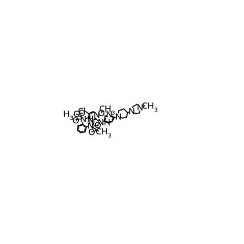 COc1nc(N2CCC(N3CCN(C)CC3)CC2)ccc1Nc1ncc(Cl)c(N(c2ccccc2NS(C)(=O)=O)S(C)(=O)=O)n1